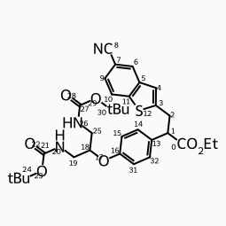 CCOC(=O)C(Cc1cc2cc(C#N)ccc2s1)c1ccc(OC(CNC(=O)OC(C)(C)C)CNC(=O)OC(C)(C)C)cc1